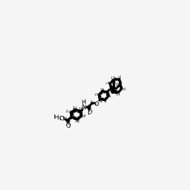 O=C(COc1ccc(C23CC4CC(CC(C4)C2)C3)cc1)Nc1ccc(C(=O)O)cc1